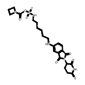 O=C1CCC(N2C(=O)c3ccc(NCCCCCCNS(=O)(=O)OC(=O)N4CCC4)cc3C2=O)C(=O)N1